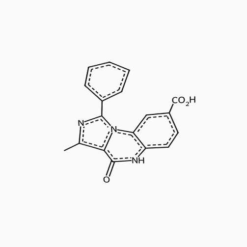 Cc1nc(-c2ccccc2)n2c1c(=O)[nH]c1ccc(C(=O)O)cc12